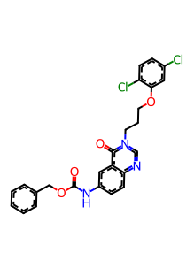 O=C(Nc1ccc2ncn(CCCOc3cc(Cl)ccc3Cl)c(=O)c2c1)OCc1ccccc1